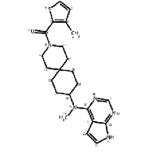 Cc1ccsc1C(=O)N1CCC2(CCC(N(C)c3ncnc4[nH]ccc34)CC2)CC1